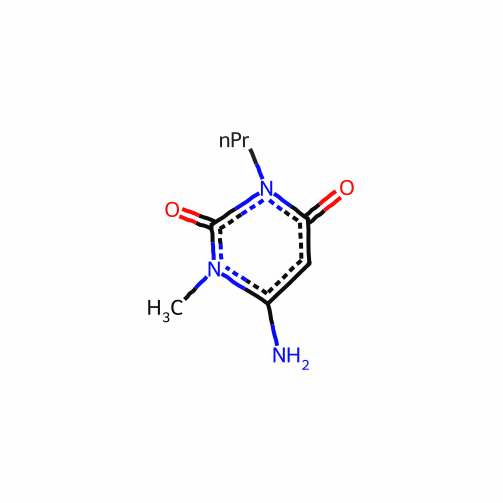 CCCn1c(=O)cc(N)n(C)c1=O